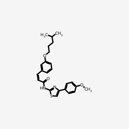 COc1ccc(-c2csc(NC(=O)/C=C\c3cccc(OCCCC(C)C)c3)n2)cc1